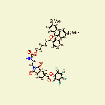 COc1ccc(C(OCCCCCCOC(=O)NCCN2C(=O)c3ccc(C(=O)Oc4c(F)c(F)c(F)c(F)c4F)cc3C2=O)(c2ccccc2)c2ccc(OC)cc2)cc1